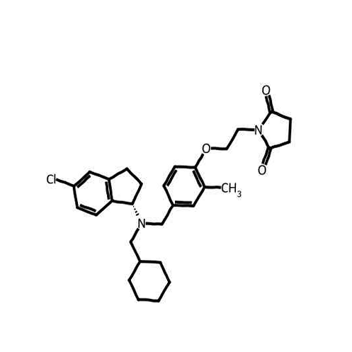 Cc1cc(CN(CC2CCCCC2)[C@H]2CCc3cc(Cl)ccc32)ccc1OCCN1C(=O)CCC1=O